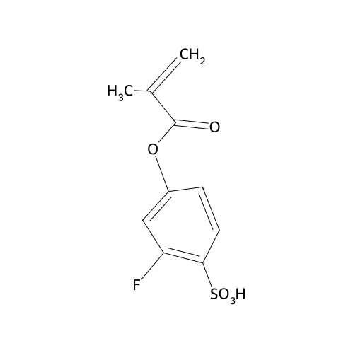 C=C(C)C(=O)Oc1ccc(S(=O)(=O)O)c(F)c1